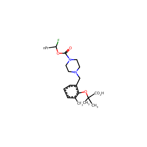 CCCC(F)OC(=O)N1CCN(Cc2cccc(C(F)(F)F)c2OC(C)(C)C(=O)O)CC1